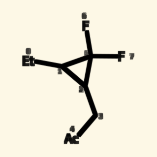 CCC1C(CC(C)=O)C1(F)F